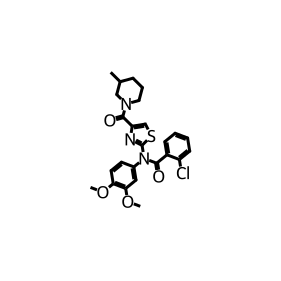 COc1ccc(N(C(=O)c2ccccc2Cl)c2nc(C(=O)N3CCCC(C)C3)cs2)cc1OC